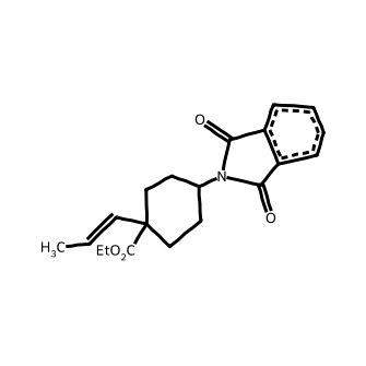 C/C=C/C1(C(=O)OCC)CCC(N2C(=O)c3ccccc3C2=O)CC1